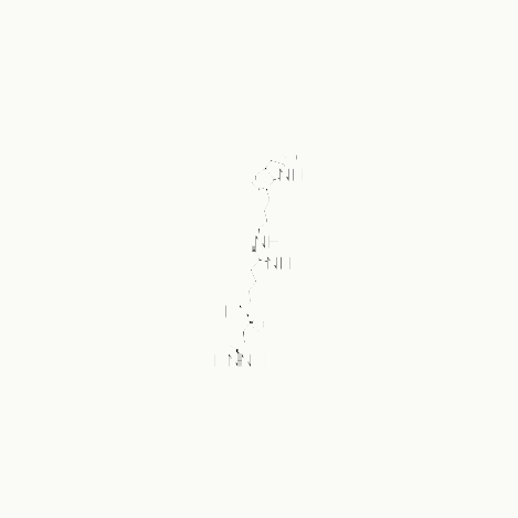 CC1(CCC(=O)NCCCCC(N)C(=O)NCCCCC2SCC3CC(=O)NC32)NN1